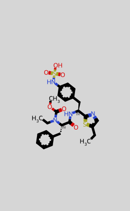 CCc1cnc([C@H](Cc2ccc(NS(=O)(=O)O)cc2)NC(=O)[C@H](Cc2ccccc2)N(CC)C(=O)OC)s1